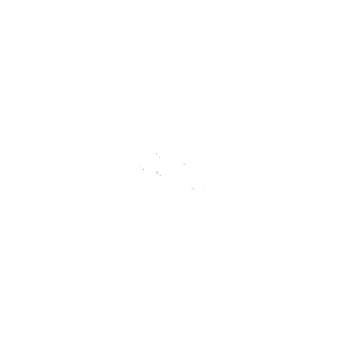 CCCCCCCNc1ncc2cc(-c3ccccc3C)c(O)cc2n1